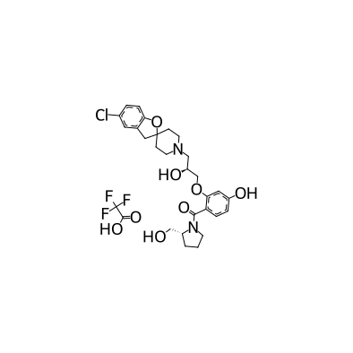 O=C(O)C(F)(F)F.O=C(c1ccc(O)cc1OC[C@@H](O)CN1CCC2(CC1)Cc1cc(Cl)ccc1O2)N1CCC[C@@H]1CO